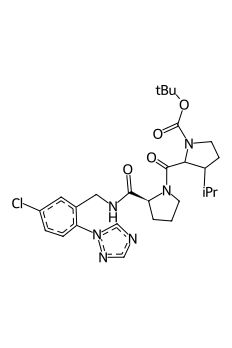 CC(C)C1CCN(C(=O)OC(C)(C)C)C1C(=O)N1CCC[C@H]1C(=O)NCc1cc(Cl)ccc1-n1cncn1